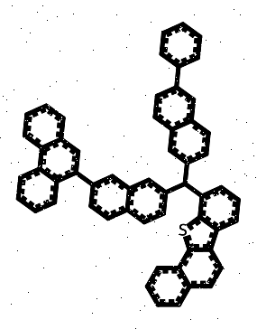 c1ccc(-c2ccc3cc(C(c4ccc5ccc(-c6cc7ccccc7c7ccccc67)cc5c4)c4cccc5c4sc4c6ccccc6ccc54)ccc3c2)cc1